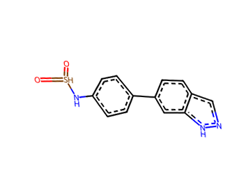 O=[SH](=O)Nc1ccc(-c2ccc3cn[nH]c3c2)cc1